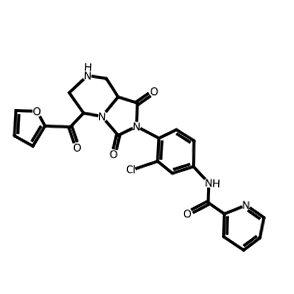 O=C(Nc1ccc(N2C(=O)C3CNCC(C(=O)c4ccco4)N3C2=O)c(Cl)c1)c1ccccn1